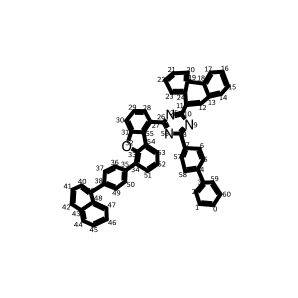 c1ccc(-c2ccc(-c3nc(-c4cc5ccccc5c5ccccc45)nc(-c4cccc5oc6c(-c7ccc(-c8cccc9ccccc89)cc7)cccc6c45)n3)cc2)cc1